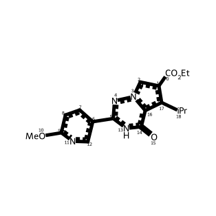 CCOC(=O)c1cn2nc(-c3ccc(OC)nc3)[nH]c(=O)c2c1C(C)C